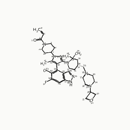 C=CC(=O)N1CCC(n2nc(N3CC[C@@H](CN4CCN(C5COC5)CC4)CC3(C)C)c(-c3c(Cl)c(F)cc4[nH]ncc34)c2C)CC1